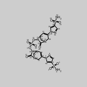 NS(=O)(=O)c1cnn(C2=CC3CN(C2)C(=O)N3OS(=O)(=O)ON2C(=O)N3CC(n4cc(S(N)(=O)=O)cn4)=CC2C3)c1